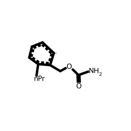 CCCc1ccc[c]c1COC(N)=O